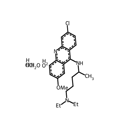 CCN(CC)CCCC(C)Nc1c2ccc(Cl)cc2nc2ccc(OC)cc12.Cl.Cl.O.O